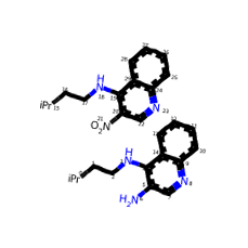 CC(C)CCNc1c(N)cnc2ccccc12.CC(C)CCNc1c([N+](=O)[O-])cnc2ccccc12